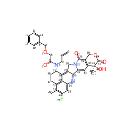 C=CCN(C(=O)COCc1ccccc1)[C@H]1CCc2c(C)c(F)cc3nc4c(c1c23)Cn1c-4cc2c(c1=O)COC(=O)[C@]2(O)CC